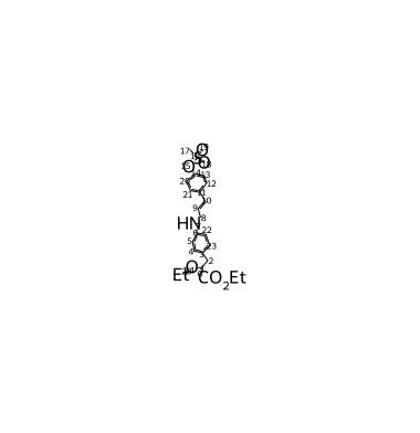 CCOC(=O)C(Cc1ccc(NCC=Cc2ccc(OS(C)(=O)=O)cc2)cc1)OCC